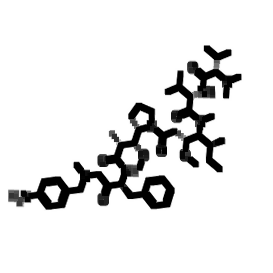 CC[C@H](C)[C@@H]([C@@H](CC(=O)N1CCC[C@H]1[C@H](OC)[C@@H](C)C(=O)N[C@@H](Cc1ccccc1)C(=O)CN(C)Cc1ccc(N)cc1)OC)N(C)C(=O)[C@@H](NC(=O)[C@H](C(C)C)N(C)C)C(C)C